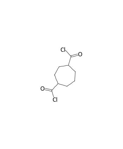 O=C(Cl)C1CCCC(C(=O)Cl)CC1